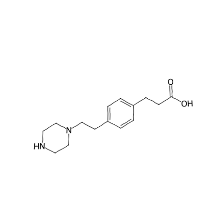 O=C(O)CCc1ccc(CCN2CCNCC2)cc1